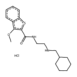 COc1c(C(=O)NCCNCC2CCCCC2)sc2ccccc12.Cl